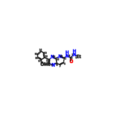 CCNC(=O)Nc1ccc2ncc(-c3ccccc3OC)nc2n1